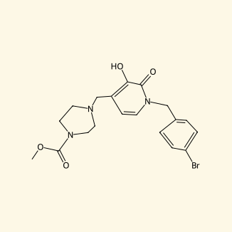 COC(=O)N1CCN(Cc2ccn(Cc3ccc(Br)cc3)c(=O)c2O)CC1